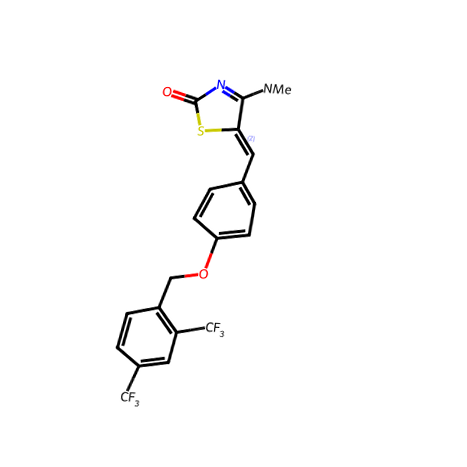 CNC1=NC(=O)S/C1=C\c1ccc(OCc2ccc(C(F)(F)F)cc2C(F)(F)F)cc1